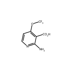 Nc1nccc(OC(F)(F)F)c1C(=O)O